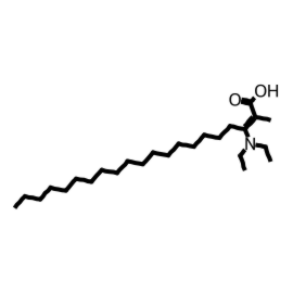 CCCCCCCCCCCCCCCCCCC(=C(C)C(=O)O)N(CC)CC